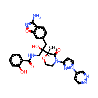 C[C@]1(C(O)(CNC(=O)c2ccccc2O)Cc2ccc3c(N)noc3c2)OCCN(c2ccn(-c3ccnnc3)n2)C1=O